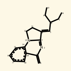 C=C1N=C2/C(=C/C(CC)CC)CCN2c2ccccc21